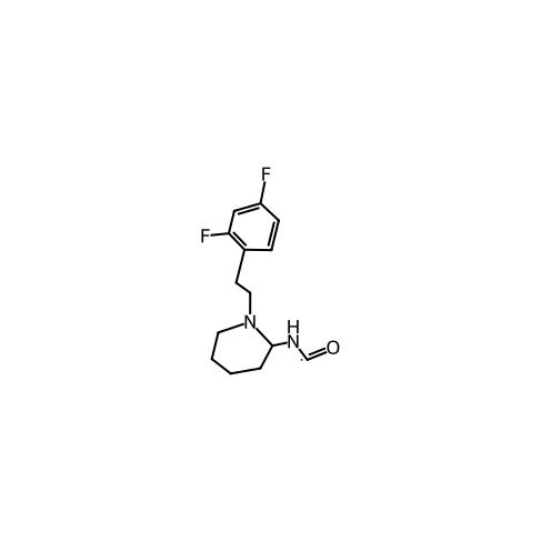 O=[C]NC1CCCCN1CCc1ccc(F)cc1F